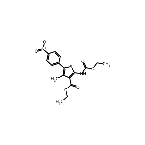 CCOC(=O)Nc1sc(-c2ccc([N+](=O)[O-])cc2)c(C)c1C(=O)OCC